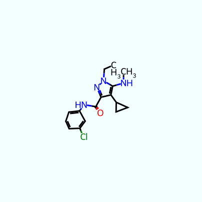 CCn1nc(C(=O)Nc2cccc(Cl)c2)c(C2CC2)c1NC